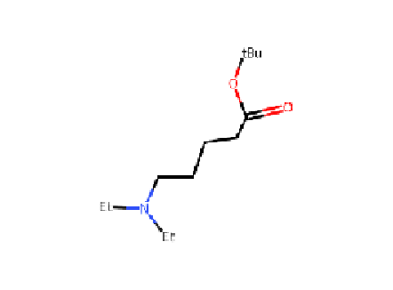 CCN(CC)CCCCC(=O)OC(C)(C)C